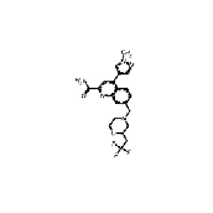 Cn1cc(-c2cc(C(N)=O)nc3cc(CN4CCOC(CC(F)(F)F)C4)ccc23)cn1